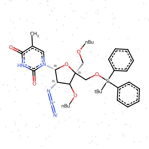 CCCCOC[C@@]1(CO[Si](c2ccccc2)(c2ccccc2)C(C)(C)C)O[C@@H](n2cc(C)c(=O)[nH]c2=O)[C@@H](N=[N+]=[N-])C1OCCCC